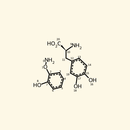 NOc1ccccc1O.N[C@@H](Cc1ccc(O)c(O)c1)C(=O)O